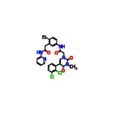 CCc1ccc(NC(=O)Cn2cc(-c3cccc(Cl)c3Cl)c(=O)n(C)c2=O)cc1CC(=O)Nc1ccccn1